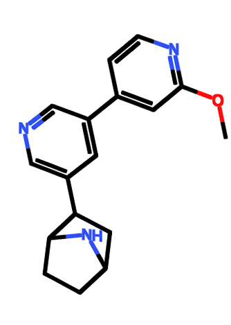 COc1cc(-c2cncc(C3CC4CCC3N4)c2)ccn1